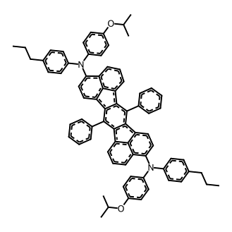 CCCc1ccc(N(c2ccc(OC(C)C)cc2)c2ccc3c4c(-c5ccccc5)c5c6cccc7c(N(c8ccc(CCC)cc8)c8ccc(OC(C)C)cc8)ccc(c5c(-c5ccccc5)c4c4cccc2c43)c76)cc1